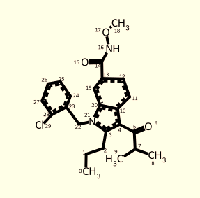 CCCc1c(C(=O)C(C)C)c2ccc(C(=O)NOC)cc2n1Cc1ccccc1Cl